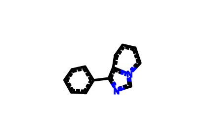 c1ccc(-c2ncn3ccccc23)cc1